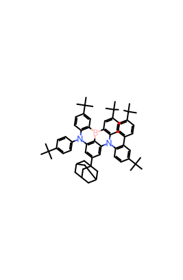 CC(C)(C)c1ccc(-c2cc(C(C)(C)C)ccc2N2c3ccc(C(C)(C)C)cc3B3c4cc(C(C)(C)C)ccc4N(c4ccc(C(C)(C)C)cc4)c4cc(C56CC7CC(CC(C7)C5)C6)cc2c43)cc1